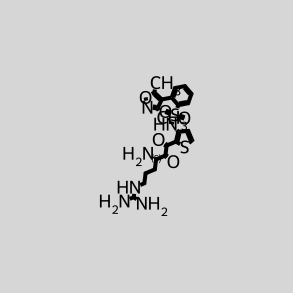 Cc1noc(C)c1-c1ccccc1S(=O)(=O)Nc1ccsc1C(=O)C(=O)[C@@H](N)CCCNC(N)N